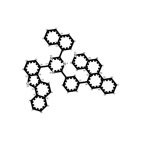 c1cc(-c2nc(-c3cccc4ccccc34)nc(-c3cccc4oc5c6ccccc6ccc5c34)n2)cc(-c2cc3ccccc3c3ccc4cnccc4c23)c1